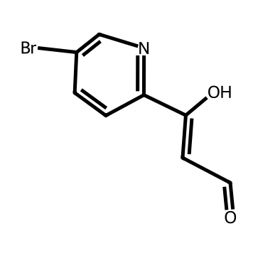 O=CC=C(O)c1ccc(Br)cn1